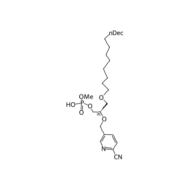 CCCCCCCCCCCCCCCCCCOC[C@H](COP(=O)(O)OC)OCc1ccc(C#N)nc1